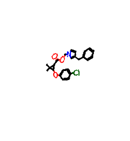 CC1(C)C(Oc2ccc(Cl)cc2)C1C(=O)OCn1ccc(Cc2ccccc2)c1